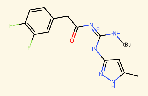 Cc1cc(N/C(=N\C(=O)Cc2ccc(F)c(F)c2)NC(C)(C)C)n[nH]1